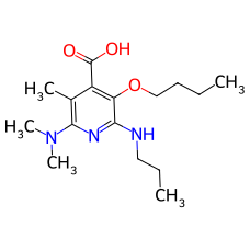 CCCCOc1c(NCCC)nc(N(C)C)c(C)c1C(=O)O